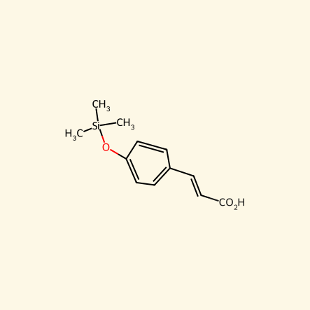 C[Si](C)(C)Oc1ccc(C=CC(=O)O)cc1